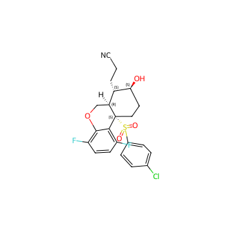 N#CCC[C@@H]1[C@@H](O)CC[C@@]2(S(=O)(=O)c3ccc(Cl)cc3)c3c(F)ccc(F)c3OC[C@@H]12